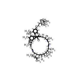 CO[C@H]1/C=C/O[C@@]2(C)Oc3c(C)c(O)c4c(=O)c(c5oc6cc(OCC[N+](C)(C)C(C)(C)C)cc(SC)c6nc-5c4c3C2=O)NC(=O)/C(C)=C\C=C\[C@H](C)[C@H](O)[C@@H](C)[C@@H](C)[C@@H](C)[C@H](OC(C)=O)[C@@H]1C